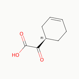 O=C(O)C(=O)[C@H]1CC=CCC1